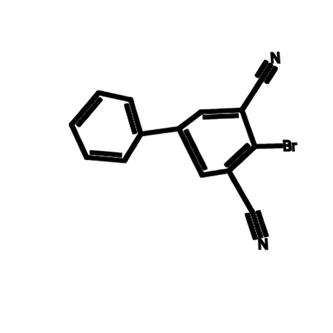 N#Cc1cc(-c2ccccc2)cc(C#N)c1Br